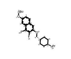 CCCCOc1ccc2cc(OC[C@H]3CC[C@H](CCC)CC3)c(F)c(F)c2c1